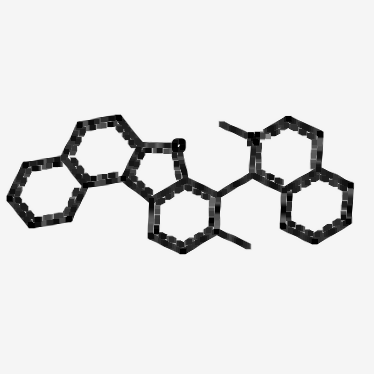 Cc1ccc2c(oc3ccc4ccccc4c32)c1-c1c2ccccc2cc[n+]1C